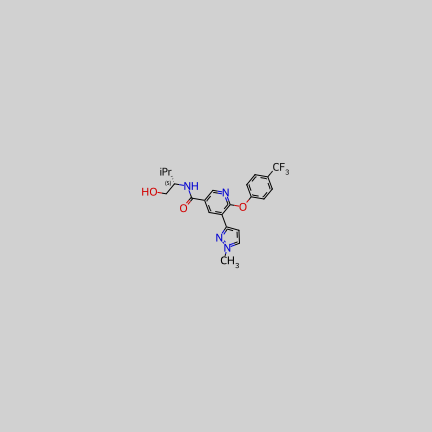 CC(C)[C@@H](CO)NC(=O)c1cnc(Oc2ccc(C(F)(F)F)cc2)c(-c2ccn(C)n2)c1